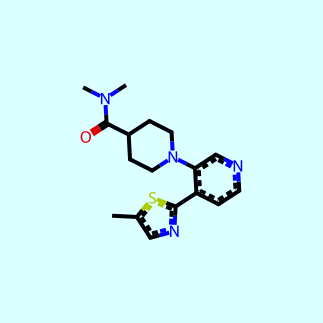 Cc1cnc(-c2ccncc2N2CCC(C(=O)N(C)C)CC2)s1